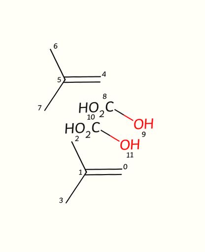 C=C(C)C.C=C(C)C.O=C(O)O.O=C(O)O